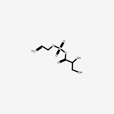 C=CCOS(=O)(=O)OC(=O)C(O)CO